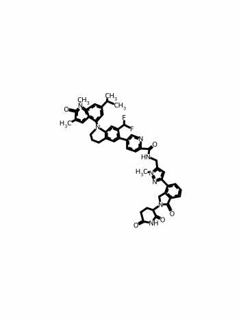 Cc1cc2c(N3CCCc4cc(-c5ccc(C(=O)NCc6cc(-c7cccc8c7CN(C7CCC(=O)NC7=O)C8=O)nn6C)nc5)c(C(F)F)cc43)cc(C(C)C)cc2n(C)c1=O